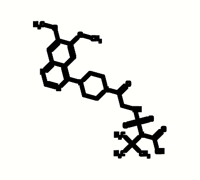 COc1cc2ncnc(N3CCN(C(=O)CNS(=O)(=O)N(C(=O)O)C(C)(C)C)CC3)c2cc1OC